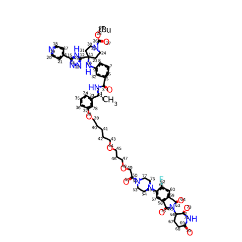 C[C@@H](NC(=O)c1cccc(NC2(c3nnc(-c4ccncc4)[nH]3)CCN(C(=O)OC(C)(C)C)CC2)c1)c1cccc(OCCCCCOCCCOCC(=O)N2CCN(c3cc4c(cc3F)C(=O)N(C3CCC(=O)NC3=O)C4=O)CC2)c1